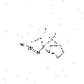 CCC1(C)C2CCC(C2)C1(CC)N=[N+]=[N-]